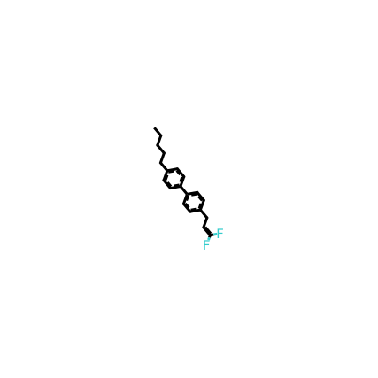 CCCCCc1ccc(-c2ccc(CC=C(F)F)cc2)cc1